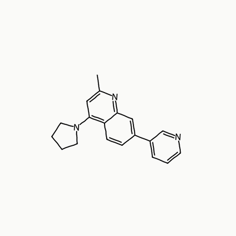 Cc1cc(N2CCCC2)c2ccc(-c3cccnc3)cc2n1